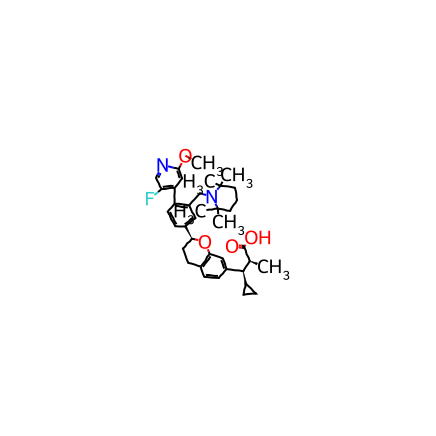 COc1cc(-c2ccc([C@@H]3CCc4ccc([C@H](C5CC5)[C@H](C)C(=O)O)cc4O3)cc2CN2C(C)(C)CCCC2(C)C)c(F)cn1